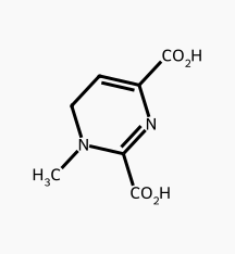 CN1CC=C(C(=O)O)N=C1C(=O)O